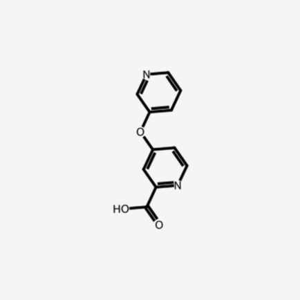 O=C(O)c1cc(Oc2cccnc2)ccn1